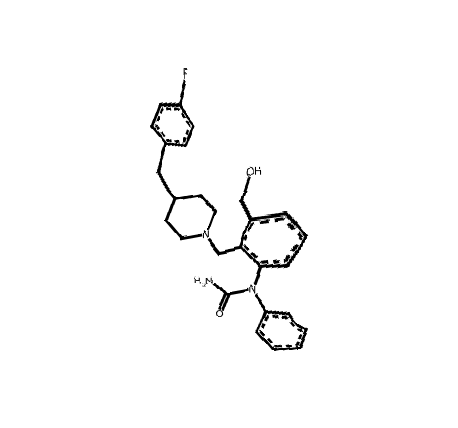 NC(=O)N(c1ccccc1)c1cccc(CO)c1CN1CCC(Cc2ccc(F)cc2)CC1